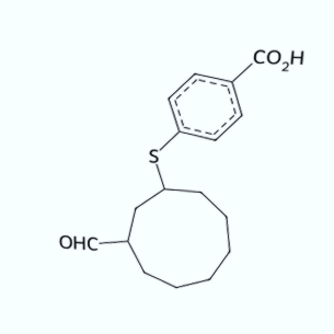 O=CC1CCCCCCC(Sc2ccc(C(=O)O)cc2)C1